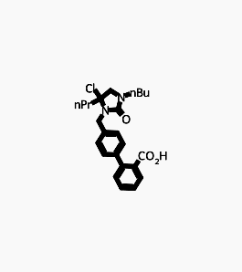 CCCCN1CC(Cl)(CCC)N(Cc2ccc(-c3ccccc3C(=O)O)cc2)C1=O